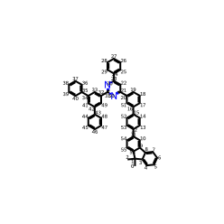 CC1(C)c2ccccc2-c2cc(-c3ccc(-c4cccc(-c5cc(-c6ccccc6)nc(-c6cc(-c7ccccc7)cc(-c7ccccc7)c6)n5)c4)cc3)ccc21